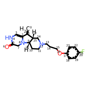 C=C1C2=CNC(=O)CN2[C@H]2CCN(CCCOc3ccc(F)cc3)C[C@@H]12